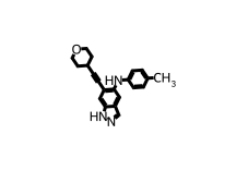 Cc1ccc(Nc2cc3cn[nH]c3cc2C#CC2CCOCC2)cc1